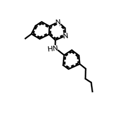 CCCCc1ccc(Nc2ncnc3ccc(C)cc23)cc1